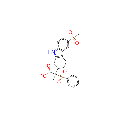 COC(=O)C(C)(C1CCc2c([nH]c3ccc(S(C)(=O)=O)cc23)C1)S(=O)(=O)c1ccccc1